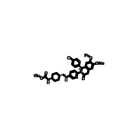 COc1cc2c(cc1OC(C)C)[C@H](c1ccc(Cl)cc1)N(c1ccc(NC[C@H]3CC[C@H](NC(=O)OC(C)(C)C)CC3)cn1)C(=O)C2